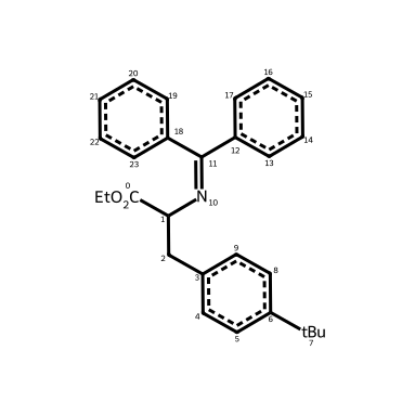 CCOC(=O)C(Cc1ccc(C(C)(C)C)cc1)N=C(c1ccccc1)c1ccccc1